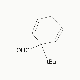 CC(C)(C)C1(C=O)C=CCC=C1